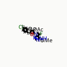 CONc1ncnc2c1c(F)cn2[C@@H]1O[C@H]([CH]c2ccc(Cl)cc2)[C@@H](OC(C)=O)[C@H]1OC(C)=O